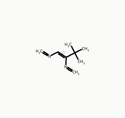 C=N/C=C(\N=C)C(C)(C)C